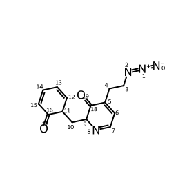 [N-]=[N+]=NCCC1=CC=NC(CC2C=CC=CC2=O)C1=O